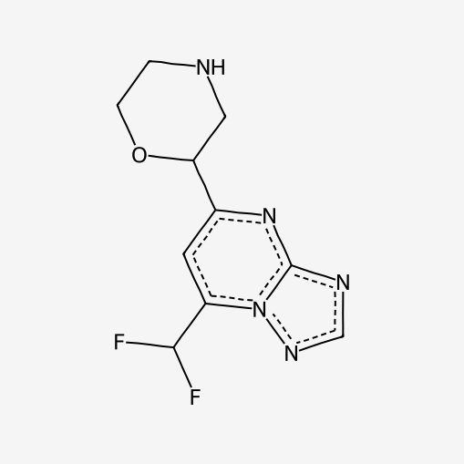 FC(F)c1cc(C2CNCCO2)nc2ncnn12